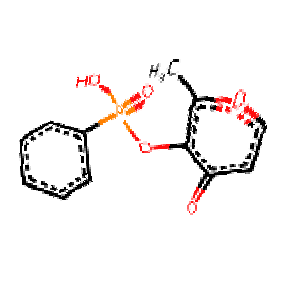 Cc1occc(=O)c1OP(=O)(O)c1ccccc1